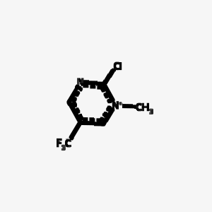 C[n+]1cc(C(F)(F)F)cnc1Cl